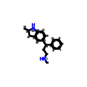 CNCCC(c1ccccc1)c1ccc2c(c1)CC(C)N2